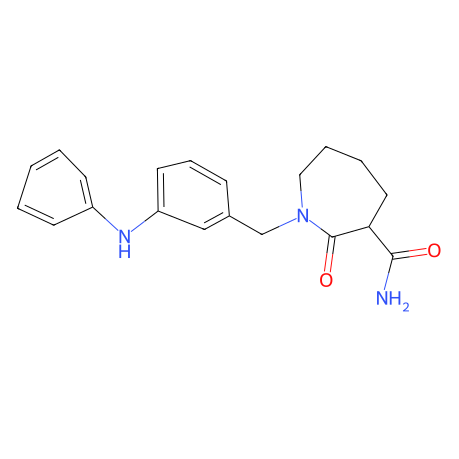 NC(=O)C1CCCCN(Cc2cccc(Nc3ccccc3)c2)C1=O